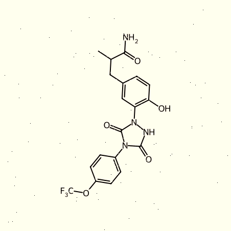 CC(Cc1ccc(O)c(-n2[nH]c(=O)n(-c3ccc(OC(F)(F)F)cc3)c2=O)c1)C(N)=O